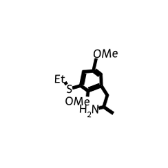 CCSc1cc(OC)cc(CC(C)N)c1OC